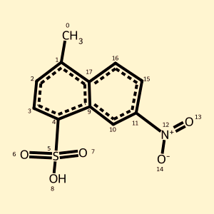 Cc1ccc(S(=O)(=O)O)c2cc([N+](=O)[O-])ccc12